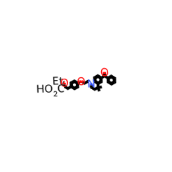 CCOC(Cc1ccc(OCCN2CCC(C)(C)c3cc(C(=O)c4ccccc4)ccc32)cc1)C(=O)O